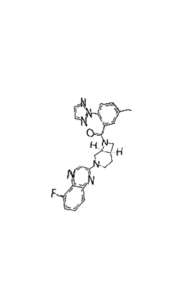 Cc1ccc(-n2nccn2)c(C(=O)N2C[C@H]3CCN(c4cnc5c(F)cccc5n4)C[C@H]32)c1